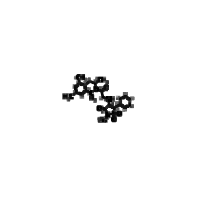 Cc1cc(C)c(CC(C)OC(=O)CNC2=C(c3ccccc3)S(=O)(=O)N(C(C)(C)C)C2=O)c(C)c1